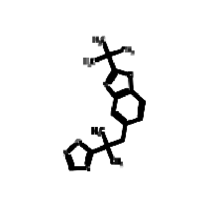 CC(C)(C)c1nc2cc(CC(C)(C)c3ncno3)ccc2o1